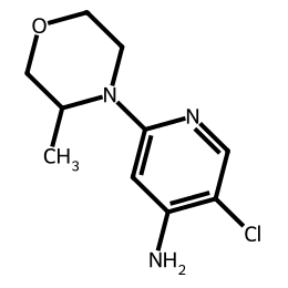 CC1COCCN1c1cc(N)c(Cl)cn1